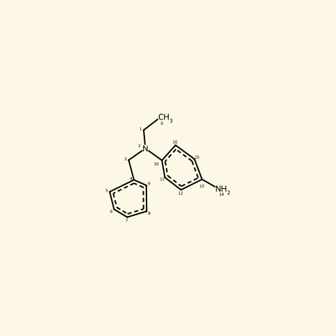 CCN(Cc1ccccc1)c1ccc(N)cc1